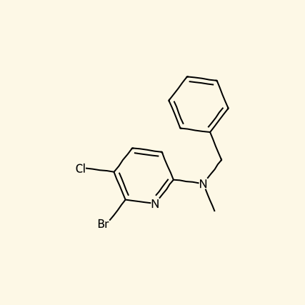 CN(Cc1ccccc1)c1ccc(Cl)c(Br)n1